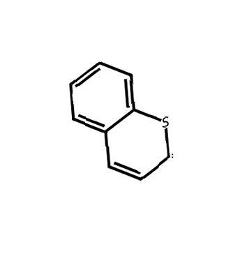 [C]1C=Cc2ccccc2S1